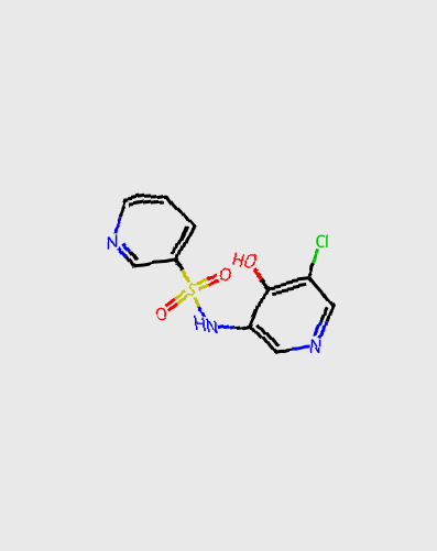 O=S(=O)(Nc1cncc(Cl)c1O)c1cccnc1